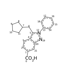 O=C(O)c1ccc2c(CC3CCCC3)n(-c3ccccc3)nc2c1